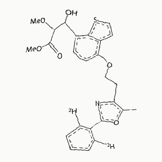 [2H]c1cccc([2H])c1-c1nc(CCOc2ccc(C(O)C(OC)C(=O)OC)c3sccc23)c(C)o1